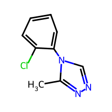 Cc1nncn1-c1ccccc1Cl